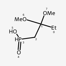 CCC(C[PH](=O)O)(OC)OC